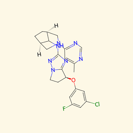 Cc1cc(N2C[C@H]3CC[C@@H](C2)C3Nc2nc3n(n2)CC[C@@H]3Oc2cc(F)cc(Cl)c2)ncn1